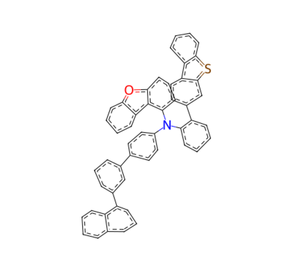 c1cc(-c2ccc(N(c3ccccc3-c3ccc4c(c3)sc3ccccc34)c3cccc4oc5ccccc5c34)cc2)cc(-c2cccc3ccccc23)c1